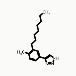 CCCCCCCCc1cc(-c2c[nH]nn2)ccc1C